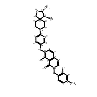 Cc1ccc(Cn2cnc3ccc(Sc4cnc(N5CCC6(CC5)CO[C@@H](C)[C@H]6N)cn4)c(Cl)c3c2=O)c(F)c1